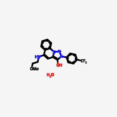 COCCNC1=CC2=C(O)N(c3ccc(C(F)(F)F)cc3)[N]N2c2ccccc21.O